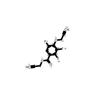 C#CCOC(=O)c1cc(F)c(OCC#C)c(F)c1F